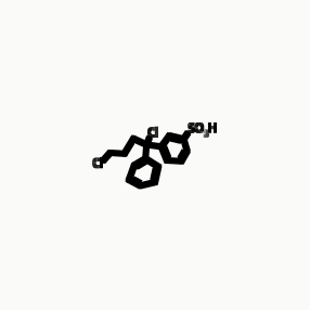 O=S(=O)(O)c1cccc(C(Cl)(CCCCl)c2ccccc2)c1